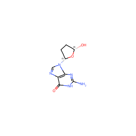 Nc1nc2c(ncn2[C@@H]2CC[C@H](O)O2)c(=O)[nH]1